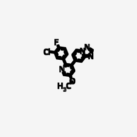 COc1cnc(-c2ccc(F)c(Cl)c2)c(-c2ccn3ncnc3c2)c1